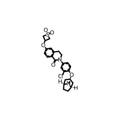 CN1[C@@H]2CC[C@H]1C[C@@H](Oc1ccc(N3CCc4cc(OC5CS(=O)(=O)C5)ccc4C3=O)cc1Cl)C2